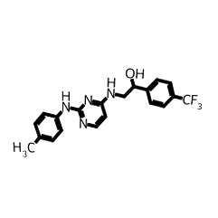 Cc1ccc(Nc2nccc(NCC(O)c3ccc(C(F)(F)F)cc3)n2)cc1